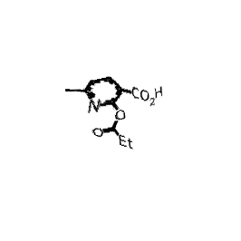 CCC(=O)Oc1nc(C)ccc1C(=O)O